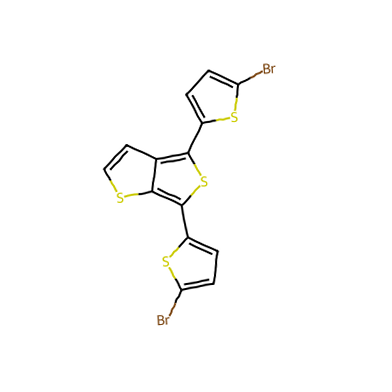 Brc1ccc(-c2sc(-c3ccc(Br)s3)c3sccc23)s1